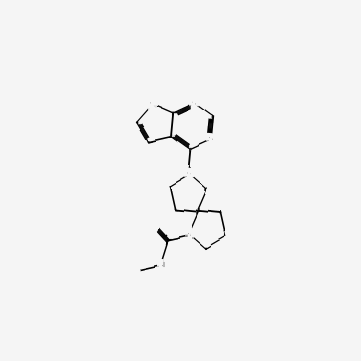 CNC(=O)N1CCCC12CCN(c1ncnc3[nH]ccc13)C2